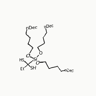 CCCCCCCCCCCCCCO[Si](OCCCCCCCCCCCCCC)(OCCCCCCCCCCCCCC)C(S)(S)CC